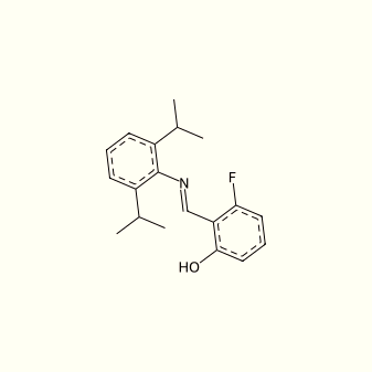 CC(C)c1cccc(C(C)C)c1N=Cc1c(O)cccc1F